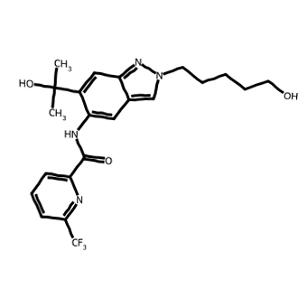 CC(C)(O)c1cc2nn(CCCCCO)cc2cc1NC(=O)c1cccc(C(F)(F)F)n1